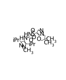 CC(C)c1nn(C)c(C(C)C)c1NC(=O)NS(=O)(=O)c1cnn2c1OCC(C)(C)C2